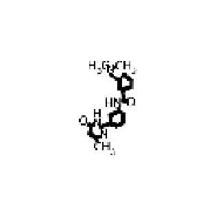 Cc1cc(=O)[nH]c(-c2cccc(NC(=O)c3cccc(CN(C)C)c3)c2)n1